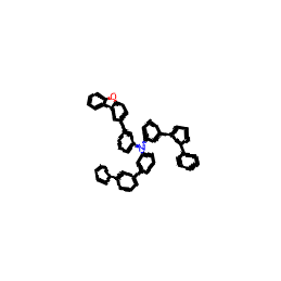 c1ccc(-c2cccc(-c3cccc(N(c4cccc(-c5cccc(-c6ccccc6)c5)c4)c4cccc(-c5ccc6oc7ccccc7c6c5)c4)c3)c2)cc1